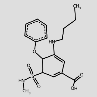 CCCCNC1=CC(C(=O)O)=CC(S(=O)(=O)NC)C1Oc1ccccc1